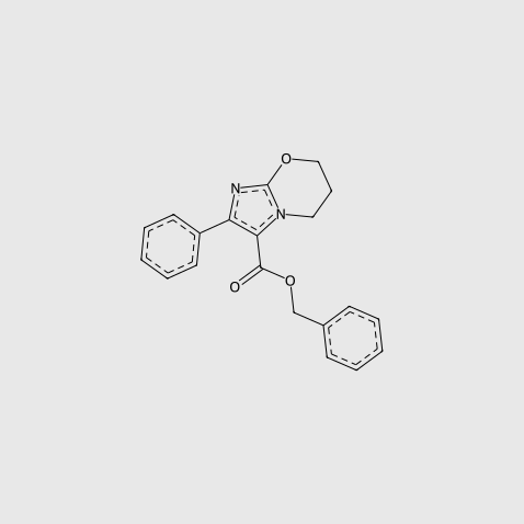 O=C(OCc1ccccc1)c1c(-c2ccccc2)nc2n1CCCO2